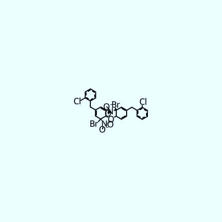 O=[N+]([O-])C1(Br)C=C(Cc2ccccc2Cl)C=CC1OC1C=CC(Cc2ccccc2Cl)=CC1(Br)[N+](=O)[O-]